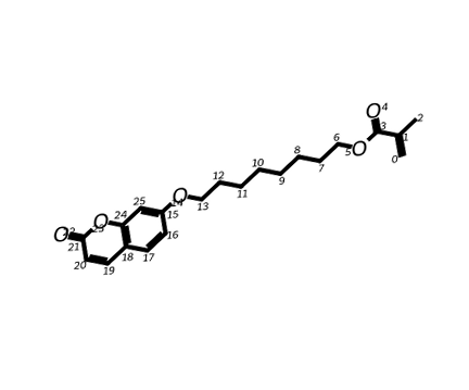 C=C(C)C(=O)OCCCCCCCCOc1ccc2ccc(=O)oc2c1